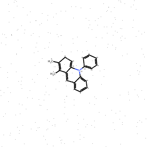 CC1=C(C)C2=Cc3ccccc3N(c3ccccc3)C2=CC1